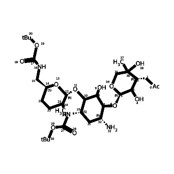 CC(=O)C[C@@H]1C(O)[C@@H](OC2C(O)C(O[C@H]3O[C@H](CNC(=O)OC(C)(C)C)CCC3C)[C@@H](NC(=O)OC(C)(C)C)C[C@H]2N)OCC1(C)O